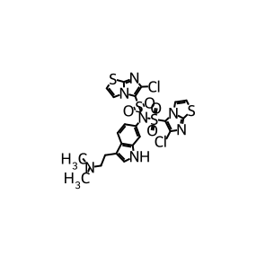 CN(C)CCc1c[nH]c2cc(N(S(=O)(=O)c3c(Cl)nc4sccn34)S(=O)(=O)c3c(Cl)nc4sccn34)ccc12